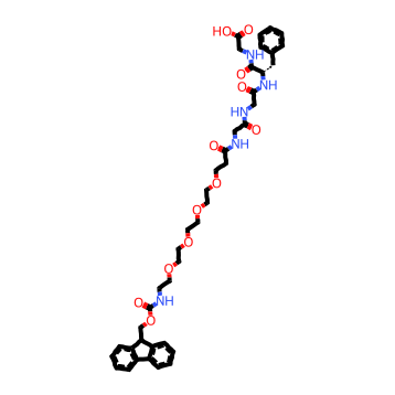 O=C(O)CNC(=O)[C@H](Cc1ccccc1)NC(=O)CNC(=O)CNC(=O)CCOCCOCCOCCOCCNC(=O)OCC1c2ccccc2-c2ccccc21